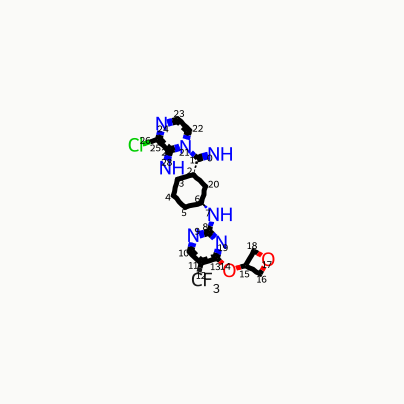 N=C([C@H]1CCC[C@@H](Nc2ncc(C(F)(F)F)c(OC3COC3)n2)C1)n1ccnc(Cl)c1=N